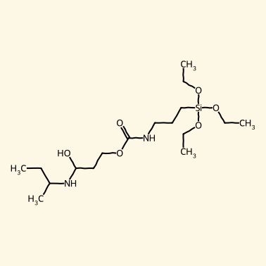 CCO[Si](CCCNC(=O)OCCC(O)NC(C)CC)(OCC)OCC